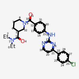 CCN(CC)C(=O)C1CCCN(C(=O)c2ccc(Nc3nccc(-c4ccc(Cl)cc4)n3)cc2)C1